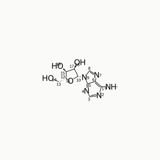 [NH]c1ncnc2c1ncn2[C@@H]1O[C@H](CO)[C@@H](O)[C@H]1O